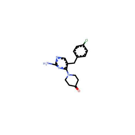 Nc1ncc(Cc2ccc(Cl)cc2)c(N2CCC(=O)CC2)n1